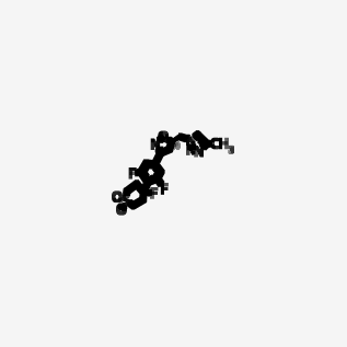 Cc1cn(C[C@H]2CC(c3cc(F)c(C4(F)CCS(=O)(=O)CC4)c(F)c3)=NO2)nn1